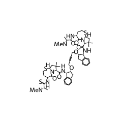 CN[C@@H](C)C(=O)N[C@H]1CCS[C@H]2CC(C)(C)[C@@H](C(=O)N[C@H]3c4ccccc4C[C@H]3OCC#CCO[C@@H]3Cc4ccccc4[C@@H]3NC(=O)[C@H]3N4C(=O)[C@@H](NC(=S)[C@H](C)NC)CCS[C@H]4CC3(C)C)N2C1=O